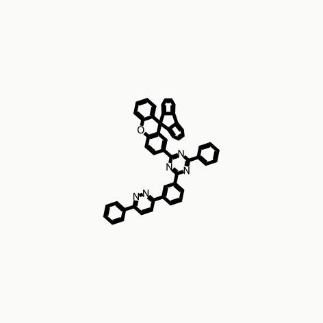 c1ccc(-c2ccc(-c3cccc(-c4nc(-c5ccccc5)nc(-c5ccc6c(c5)C5(c7ccccc7O6)c6ccccc6-c6ccccc65)n4)c3)nn2)cc1